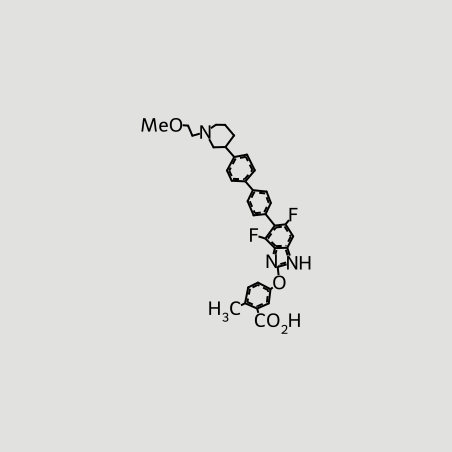 COCCN1CCCC(c2ccc(-c3ccc(-c4c(F)cc5[nH]c(Oc6ccc(C)c(C(=O)O)c6)nc5c4F)cc3)cc2)C1